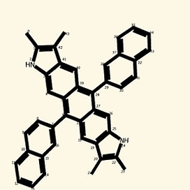 Cc1[nH]c2cc3c(-c4ccc5ccccc5c4)c4cc5c(C)c(C)[nH]c5cc4c(-c4ccc5ccccc5c4)c3cc2c1C